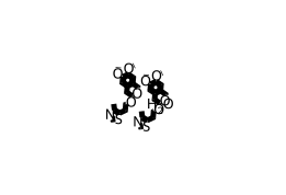 COc1cc2c(cc1OC)CC(OCCc1scnc1C)OC2.COc1cc2c(cc1OC)CC(OCCc1scnc1C)OC2.O